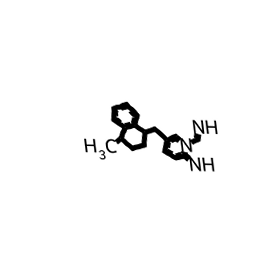 CC1CCC(Cc2ccc(=N)n(C=N)c2)c2ccccc21